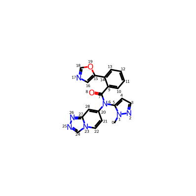 Cn1nccc1N(C(=O)c1ccccc1-c1cnco1)c1ccn2cnnc2c1